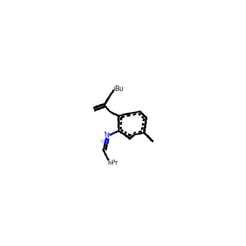 C=C(c1ccc(C)cc1/N=C\CCC)C(C)CC